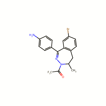 CC1Cc2ccc(Br)cc2C(c2ccc(N)cc2)=NN1C(=O)C(F)(F)F